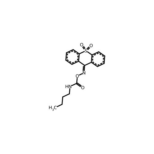 CCCCNC(=O)ON=C1c2ccccc2S(=O)(=O)c2ccccc21